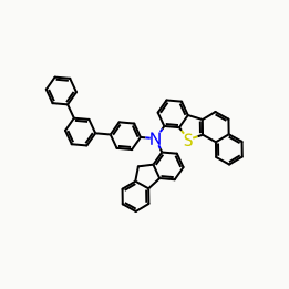 c1ccc(-c2cccc(-c3ccc(N(c4cccc5c4Cc4ccccc4-5)c4cccc5c4sc4c6ccccc6ccc54)cc3)c2)cc1